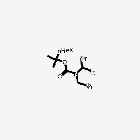 CCCCCCC(C)(C)OC(=O)N(CC(C)C)C(CC)C(C)C